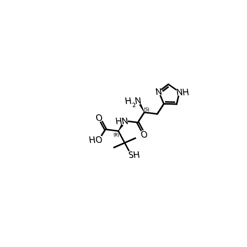 CC(C)(S)[C@H](NC(=O)[C@@H](N)Cc1c[nH]cn1)C(=O)O